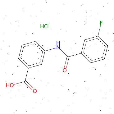 Cl.O=C(O)c1cccc(NC(=O)c2cccc(F)c2)c1